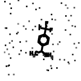 CC([SiH3])c1ccc(C(F)(F)F)cc1